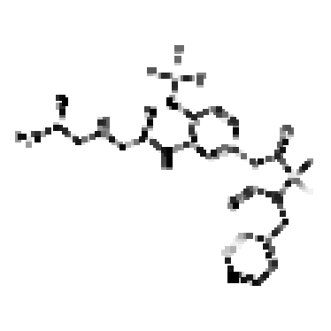 CC1(C)C(=O)N(c2ccc(OC(F)(F)F)c(NC(=O)CNCC(N)=O)c2)C(=O)N1Cc1ccncc1